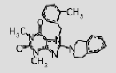 Cc1ccccc1Cn1c(N2CCc3ccccc3C2)nc2c1c(=O)n(C)c(=O)n2C